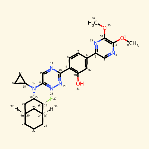 COc1ncc(-c2ccc(-c3ncc(N(C4CC4)[C@H]4C[C@@H]5CCC[C@@H](C5)[C@H]4F)nn3)c(O)c2)nc1OC